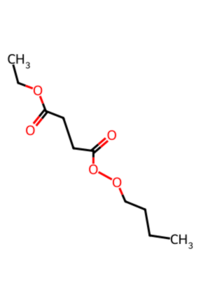 CCCCOOC(=O)CCC(=O)OCC